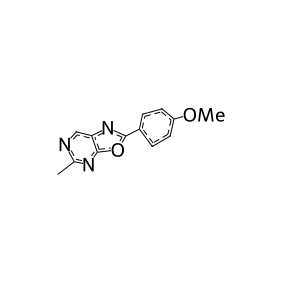 COc1ccc(-c2nc3cnc(C)nc3o2)cc1